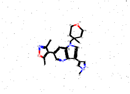 Cc1noc(C)c1-c1cnc2c(-c3cnn(C)c3)cn(CC3(C)CCOCC3)c2c1